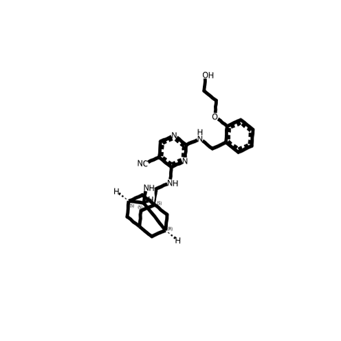 N#Cc1cnc(NCc2ccccc2OCCO)nc1NC[C@]12CC3C[C@H](C1)[C@@H](N)[C@@H](C3)C2